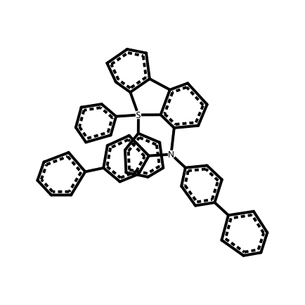 c1ccc(-c2ccc(N(c3ccc(-c4ccccc4)cc3)c3cccc4c3S(c3ccccc3)(c3ccccc3)c3ccccc3-4)cc2)cc1